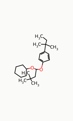 CCC(C)(C)c1ccc(OC(CC(C)(C)C)OC2CCCCC2)cc1